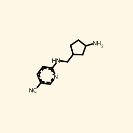 N#Cc1ccc(NCC2CCC(N)C2)nc1